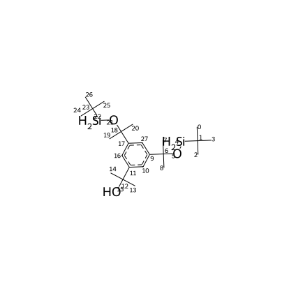 CC(C)(C)[SiH2]OC(C)(C)c1cc(C(C)(C)O)cc(C(C)(C)O[SiH2]C(C)(C)C)c1